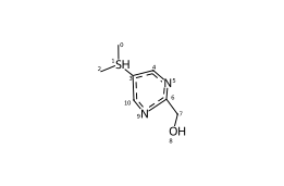 C[SH](C)c1cnc(CO)nc1